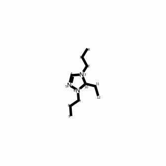 CCCN1C=NN(CCC)C1CC